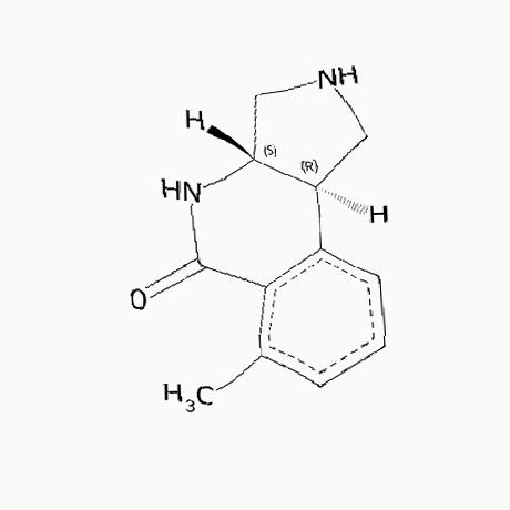 Cc1cccc2c1C(=O)N[C@@H]1CNC[C@@H]21